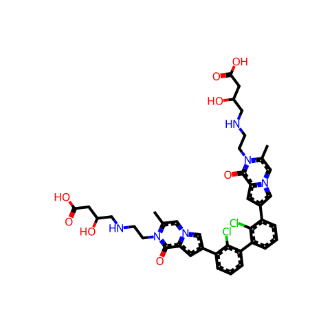 Cc1cn2cc(-c3cccc(-c4cccc(-c5cc6c(=O)n(CCNCC(O)CC(=O)O)c(C)cn6c5)c4Cl)c3Cl)cc2c(=O)n1CCNCC(O)CC(=O)O